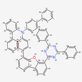 c1ccc(-c2ccc(N(c3ccc(-c4cccc5c4oc4c(-c6nc(-c7ccccc7)nc(-c7ccccc7)n6)cccc45)cc3)c3ccccc3-c3ccccc3)cc2)cc1